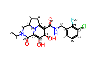 CCN1CC2CCC3=C(C(=O)NCc4cccc(Cl)c4F)C(O)C(O)=C(C1=O)N32